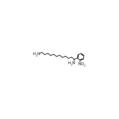 NCCCCCCCCCCCC(N)c1ccccc1[N+](=O)[O-]